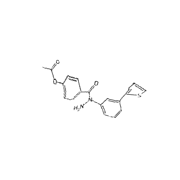 CC(=O)Oc1ccc(C(=O)N(N)c2cccc(-c3cccs3)c2)cc1